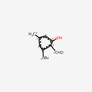 CCCCc1cc(C)cc(O)c1C=O